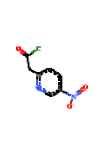 O=C(Cl)Cc1ccc([N+](=O)[O-])cn1